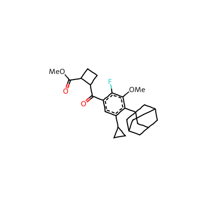 COC(=O)C1CCC1C(=O)c1cc(C2CC2)c(C23CC4CC(CC(C4)C2)C3)c(OC)c1F